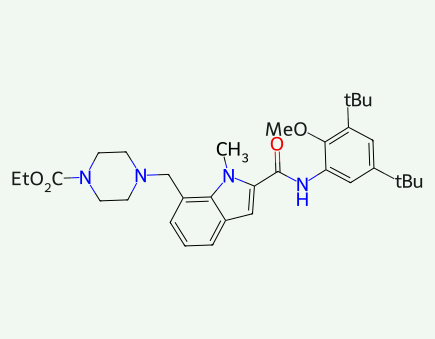 CCOC(=O)N1CCN(Cc2cccc3cc(C(=O)Nc4cc(C(C)(C)C)cc(C(C)(C)C)c4OC)n(C)c23)CC1